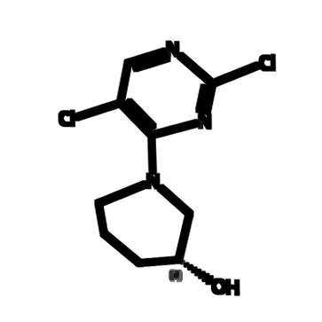 O[C@@H]1CCCN(c2nc(Cl)ncc2Cl)C1